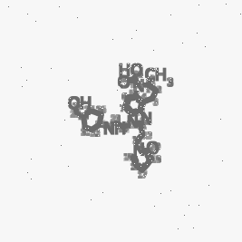 C[C@H]1CCc2c(ccc3c2nc(CCn2ccccc2=O)n3CCN[C@H]2CC[C@H](CO)CC2)N1C(=O)O